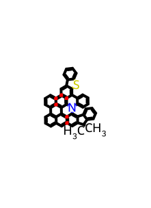 CC1(C)c2ccccc2-c2c(N(c3ccccc3-c3cccc4c3sc3ccccc34)c3ccccc3-c3cccc4cccc(-c5ccccc5)c34)cccc21